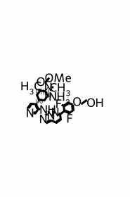 COC(=O)N(C)[C@@H]1[C@H](N)C[C@H](c2ccncc2Nc2ncc3ccc(-c4c(F)cc(OCCO)cc4F)nn23)C[C@@H]1C